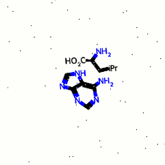 CC(C)C[C@H](N)C(=O)O.Nc1ncnc2nc[nH]c12